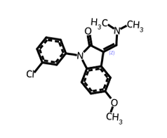 COc1ccc2c(c1)/C(=C/N(C)C)C(=O)N2c1cccc(Cl)c1